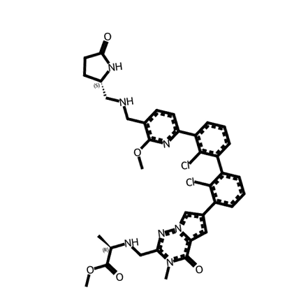 COC(=O)[C@@H](C)NCc1nn2cc(-c3cccc(-c4cccc(-c5ccc(CNC[C@@H]6CCC(=O)N6)c(OC)n5)c4Cl)c3Cl)cc2c(=O)n1C